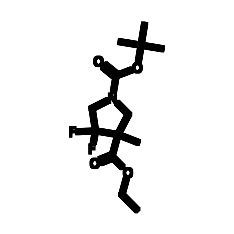 CCOC(=O)C1(C)CN(C(=O)OC(C)(C)C)CC1(F)F